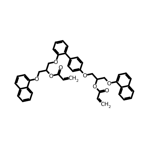 C=CC(=O)OC(COc1ccc(-c2ccccc2OCC(COc2cccc3ccccc23)OC(=O)C=C)cc1)COc1cccc2ccccc12